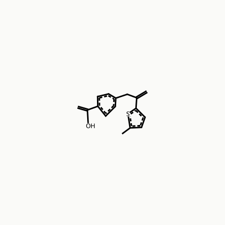 C=C(O)c1ccc(CC(=C)c2ccc(C)s2)cc1